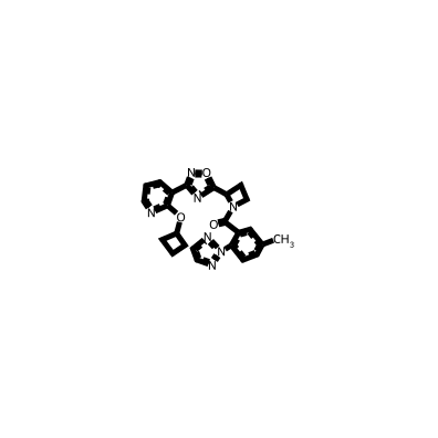 Cc1ccc(-n2nccn2)c(C(=O)N2CCC2c2nc(-c3cccnc3OC3CCC3)no2)c1